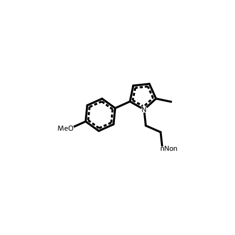 CCCCCCCCCCCn1c(C)ccc1-c1ccc(OC)cc1